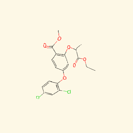 CCOC(=O)C(C)Oc1cc(Oc2ccc(Cl)cc2Cl)ccc1C(=O)OC